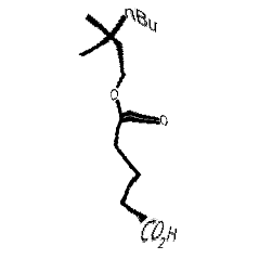 CCCCC(C)(C)COC(=O)CCCC(=O)O